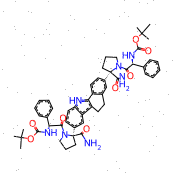 CC(C)(C)OC(=O)N[C@H](C(=O)N1CCC[C@@]1(C(N)=O)c1ccc2c(c1)CCc1c-2[nH]c2ccc([C@]3(C(N)=O)CCCN3C(=O)[C@@H](NC(=O)OC(C)(C)C)c3ccccc3)cc12)c1ccccc1